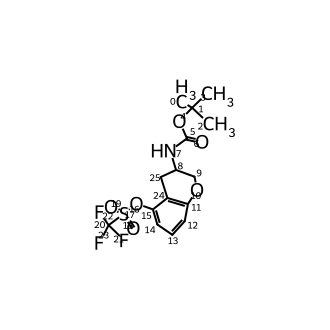 CC(C)(C)OC(=O)NC1COc2cccc(OS(=O)(=O)C(F)(F)F)c2C1